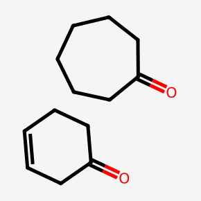 O=C1CC=CCC1.O=C1CCCCCC1